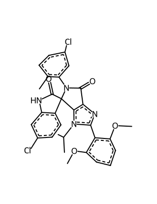 COc1cccc(OC)c1-c1nc2c(n1C(C)C)C1(C(=O)Nc3cc(Cl)ccc31)N(c1cc(Cl)ccc1C)C2=O